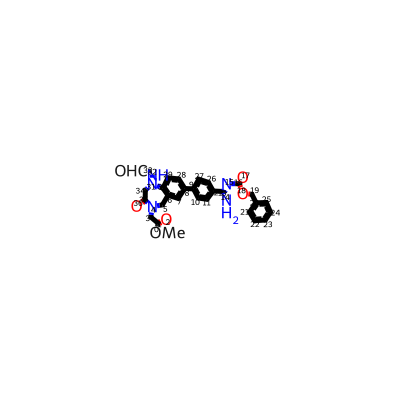 COC(=O)CN1Cc2cc(-c3ccc(C(N)=NC(=O)OCc4ccccc4)cc3)ccc2N(NC=O)CC1=O